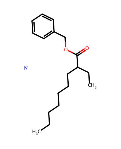 CCCCCCCC(CC)C(=O)OCc1ccccc1.[N]